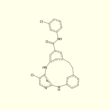 O=C(Nc1cccc(Cl)c1)c1cc2cc(c1)Nc1nc(ncc1Cl)Nc1cccc(c1)CC2